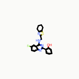 Oc1ccccc1-c1nc(NCc2nc3c(s2)CCCC3)c2cc(F)ccc2n1